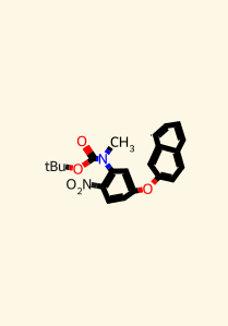 CN(C(=O)OC(C)(C)C)c1cc(Oc2ccc3ccc[c]c3c2)ccc1[N+](=O)[O-]